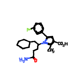 Cc1c(C(=O)O)cc(-c2cccc(F)c2)n1C(CCC(N)=O)CC1CCCCC1